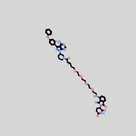 Nc1ncnc2c1c(-c1ccc(Oc3ccccc3)cc1)nn2C1CCCN(C(=O)/C=C/CCOCCOCCOCCOCCNc2cccc3c2C(=O)N(C2CCC(=O)NC2=O)C3=O)C1